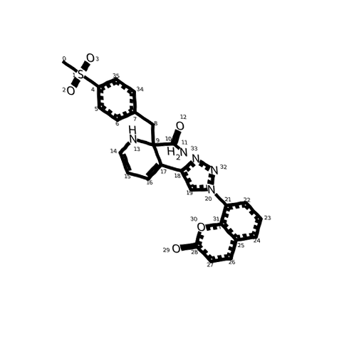 CS(=O)(=O)c1ccc(CC2(C(N)=O)NC=CC=C2c2cn(-c3cccc4ccc(=O)oc34)nn2)cc1